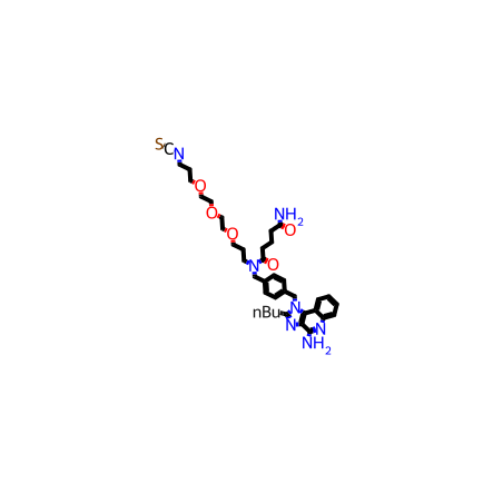 CCCCc1nc2c(N)nc3ccccc3c2n1Cc1ccc(CN(CCCOCCOCCOCCCN=C=S)C(=O)CCCC(N)=O)cc1